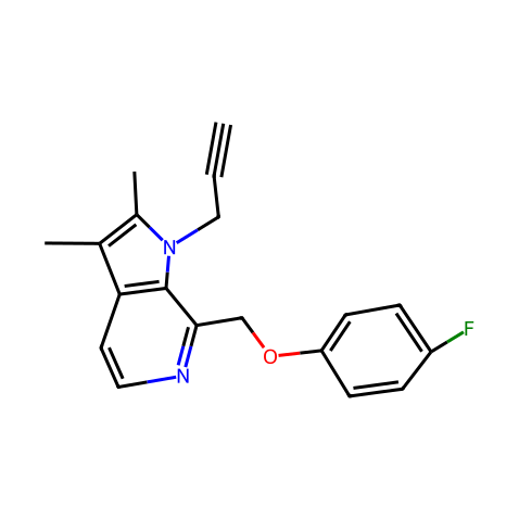 C#CCn1c(C)c(C)c2ccnc(COc3ccc(F)cc3)c21